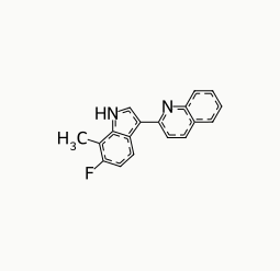 Cc1c(F)ccc2c(-c3ccc4ccccc4n3)c[nH]c12